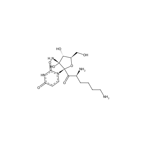 NCCCC[C@H](N)C(=O)[C@@]1(n2ccc(=O)[nH]c2=O)O[C@H](CO)[C@@H](O)[C@@]1(N)O